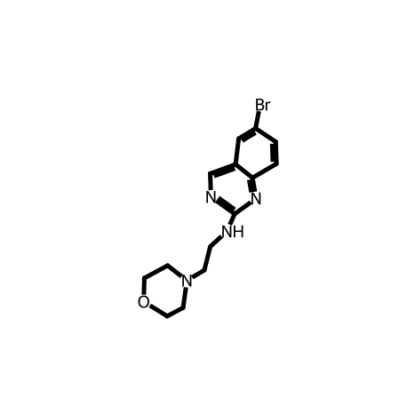 Brc1ccc2nc(NCCN3CCOCC3)ncc2c1